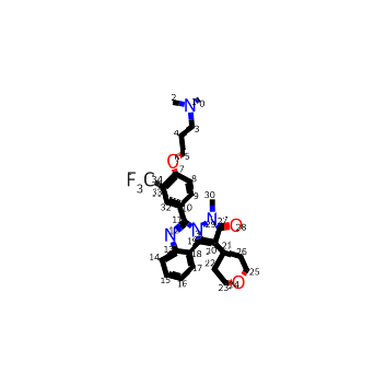 CN(C)CCCOc1ccc(-c2nc3ccccc3c3c(C4CCOCC4)c(=O)n(C)n23)cc1C(F)(F)F